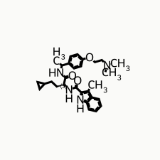 Cc1c(C(=O)N[C@@H](CCC2CC2)C(=O)NC(C)c2ccc(OCCN(C)C)cc2)[nH]c2ccccc12